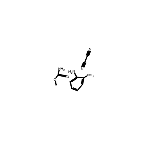 COC(N)=O.N#CC#N.Nc1ccccc1N